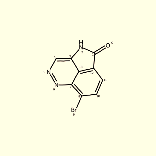 O=C1Nc2cnnc3c(Br)ccc1c23